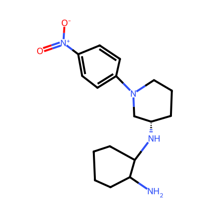 NC1CCCCC1N[C@H]1CCCN(c2ccc([N+](=O)[O-])cc2)C1